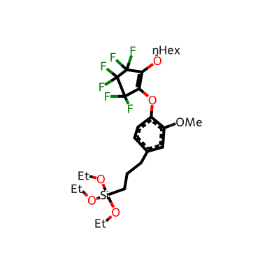 CCCCCCOC1=C(Oc2ccc(CCC[Si](OCC)(OCC)OCC)cc2OC)C(F)(F)C(F)(F)C1(F)F